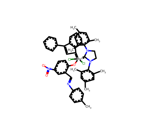 Cc1ccc(N=Cc2cc([N+](=O)[O-])ccc2[O][Ru-5]([Cl])([Cl])(=[C]2C=C(c3ccccc3)c3ccccc32)=[C]2N(c3c(C)cc(C)cc3C)CCN2c2c(C)cc(C)cc2C)cc1